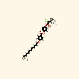 CCCCCCCCCCCCOc1ccc(C(=O)Oc2ccc(OC(=O)[C@@H](Cl)C(C)C)cc2)cc1